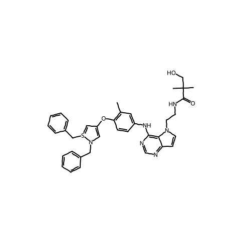 Cc1cc(Nc2ncnc3ccn(CCNC(=O)C(C)(C)CO)c23)ccc1OC1=CN(Cc2ccccc2)S(Cc2ccccc2)=C1